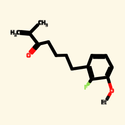 C=C(C)C(=O)CCCCc1cccc(OCC)c1F